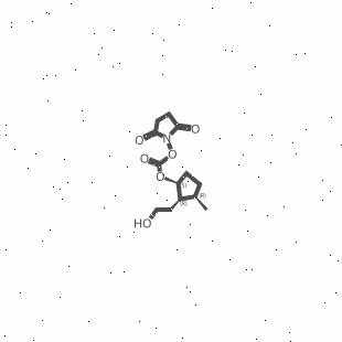 C[C@@H]1CC[C@H](OC(=O)ON2C(=O)CCC2=O)[C@@H]1CCO